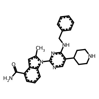 Cc1cc2c(C(N)=O)cccc2n1-c1ncc(C2CCNCC2)c(NCc2ccccc2)n1